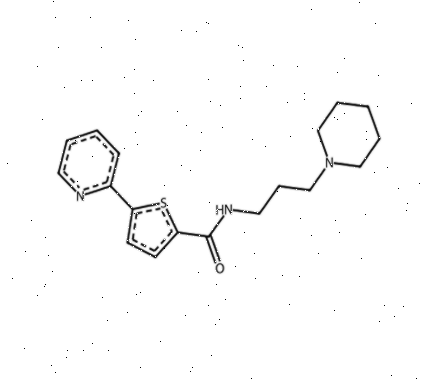 O=C(NCCCN1CCCCC1)c1ccc(-c2ccccn2)s1